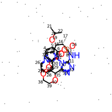 COc1cccc(OC)c1-n1c(NS(=O)(=O)[C@@H](C)[C@@H](OC(C)C)c2cn3ccccc3n2)nnc1C1COCCO1